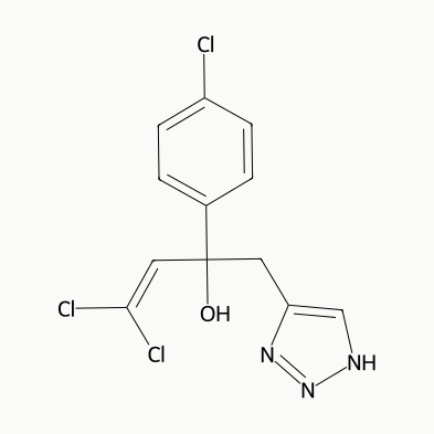 OC(C=C(Cl)Cl)(Cc1c[nH]nn1)c1ccc(Cl)cc1